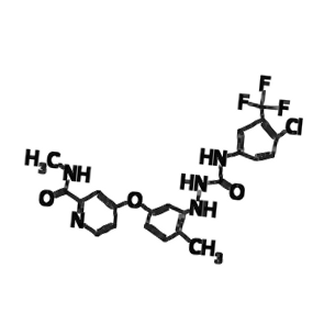 CNC(=O)c1cc(Oc2ccc(C)c(NNC(=O)Nc3ccc(Cl)c(C(F)(F)F)c3)c2)ccn1